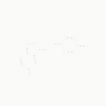 COc1ccc2[nH]cc(SCc3ncc(C)c(OC)c3C)c2c1